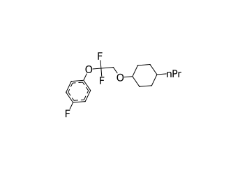 CCCC1CCC(OCC(F)(F)Oc2ccc(F)cc2)CC1